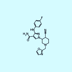 N#CC1CCN(Cc2ncco2)CC1n1cc(C(N)=O)c(Nc2ccc(F)cc2)n1